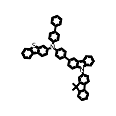 CC1(C)c2ccccc2-c2ccc(-n3c4ccccc4c4cc(-c5ccc(N(c6ccc(-c7ccccc7)cc6)c6ccc7c(c6)sc6ccccc67)cc5)ccc43)cc21